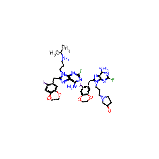 CC(C)NCCCn1c(Cc2cc3c(cc2I)OCCO3)nc2c(N)nc(F)nc21.Nc1nc(F)nc2c1nc(Cc1cc3c(cc1I)OCCO3)n2CCCN1CCC(=O)C1